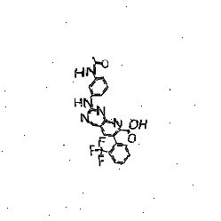 CC(=O)Nc1cccc(Nc2ncc3cc(-c4ccccc4C(F)(F)F)c(C(=O)O)nc3n2)c1